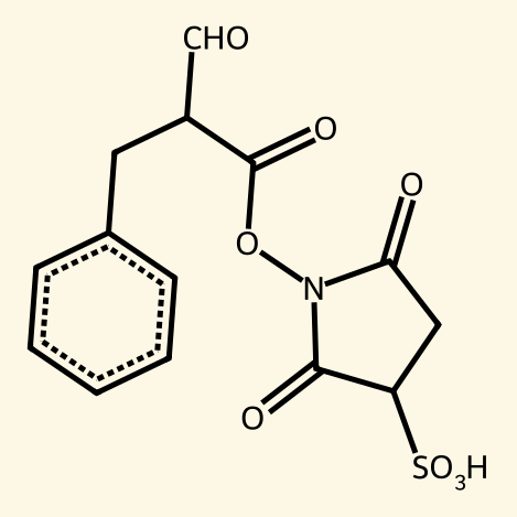 O=CC(Cc1ccccc1)C(=O)ON1C(=O)CC(S(=O)(=O)O)C1=O